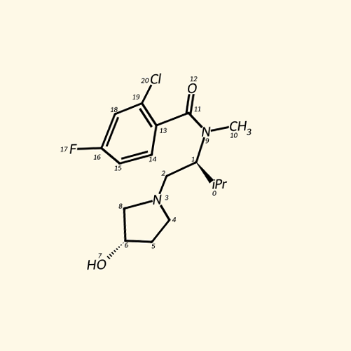 CC(C)[C@@H](CN1CC[C@H](O)C1)N(C)C(=O)c1ccc(F)cc1Cl